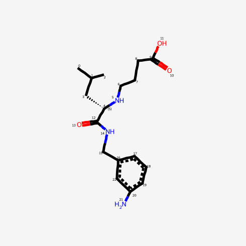 CC(C)C[C@H](NCCCC(=O)O)C(=O)NCc1cccc(N)c1